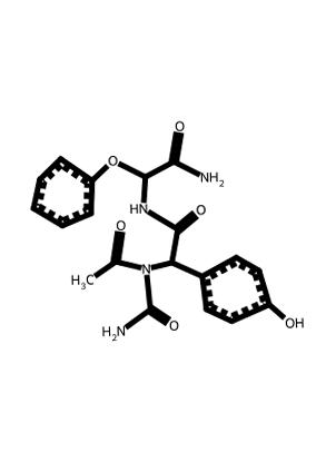 CC(=O)N(C(N)=O)C(C(=O)NC(Oc1ccccc1)C(N)=O)c1ccc(O)cc1